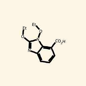 CCOc1nc2cccc(C(=O)O)c2n1OCC